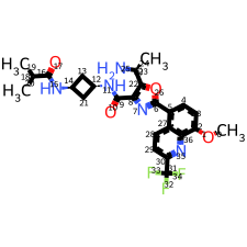 COc1ccc(-c2nc(C(=O)N[C@H]3C[C@H](NC(=O)C(C)C)C3)c([C@H](C)N)o2)c2ccc(C(F)(F)F)nc12